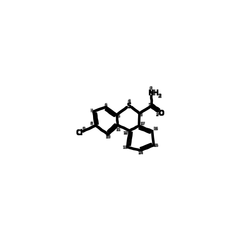 NC(=O)C1Sc2ccc(Cl)cc2-c2ccccc21